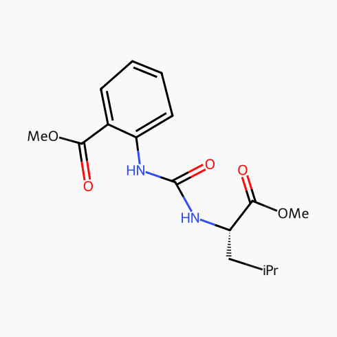 COC(=O)c1ccccc1NC(=O)N[C@@H](CC(C)C)C(=O)OC